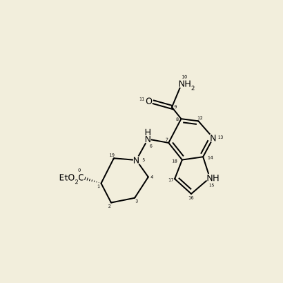 CCOC(=O)[C@H]1CCCN(Nc2c(C(N)=O)cnc3[nH]ccc23)C1